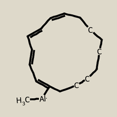 [CH3][Al]/[C]1=C/C=C/C=C/C=C\CCCCCCCC1